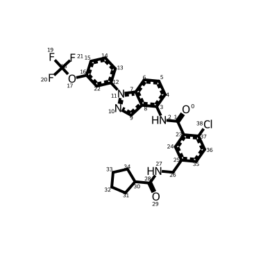 O=C(Nc1cccc2c1cnn2-c1cccc(OC(F)(F)F)c1)c1cc(CNC(=O)C2CCCC2)ccc1Cl